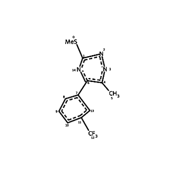 CSc1nnc(C)c(-c2cccc(C(F)(F)F)c2)n1